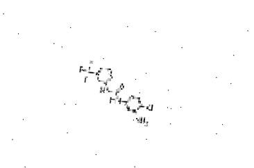 Nc1cc(NC(=O)Nc2cccc(C(F)(F)F)c2)ccc1Cl